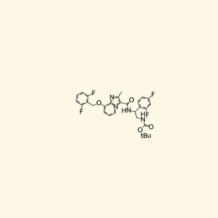 Cc1nc2c(OCc3c(F)cccc3F)cccn2c1C(=O)NC(CNC(=O)OC(C)(C)C)c1ccc(F)cc1F